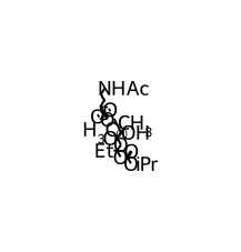 CCC(OC(=O)OC(C)C)OC(=O)[C@H](O)C(C)(C)COS(=O)(=O)CCCNC(C)=O